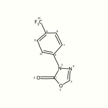 O=c1ocnn1-c1ccc(C(F)(F)F)cc1